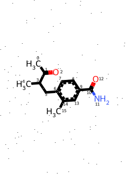 CC(=O)C(C)Cc1ccc(C(N)=O)cc1C